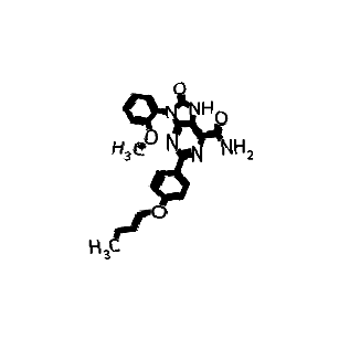 CCCCOc1ccc(-c2nc(C(N)=O)c3[nH]c(=O)n(-c4ccccc4OC)c3n2)cc1